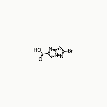 O=C(O)c1cn2nc(Br)sc2n1